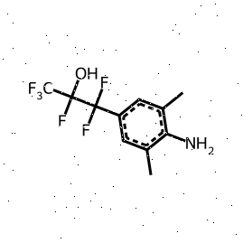 Cc1cc(C(F)(F)C(O)(F)C(F)(F)F)cc(C)c1N